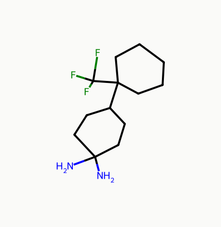 NC1(N)CCC(C2(C(F)(F)F)CCCCC2)CC1